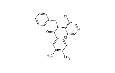 Cc1ccc(C(=O)N(Cc2ccccc2)c2c(Cl)cncc2Cl)cc1C